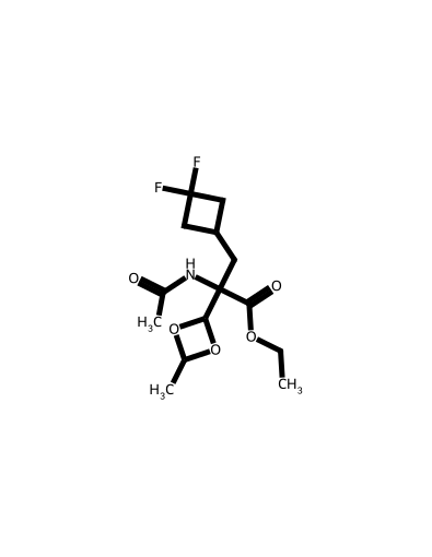 CCOC(=O)C(CC1CC(F)(F)C1)(NC(C)=O)C1OC(C)O1